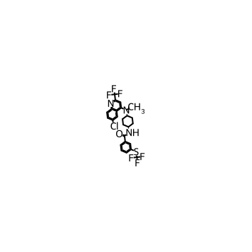 CN(c1cc(C(F)(F)F)nc2ccc(Cl)cc12)[C@H]1CC[C@@H](NC(=O)c2cccc(SC(F)(F)F)c2)CC1